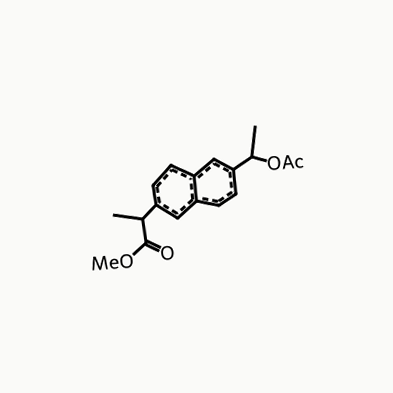 COC(=O)C(C)c1ccc2cc(C(C)OC(C)=O)ccc2c1